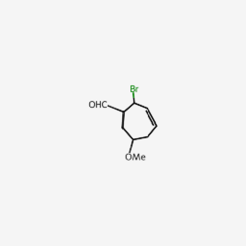 COC1CC=CC(Br)C(C=O)C1